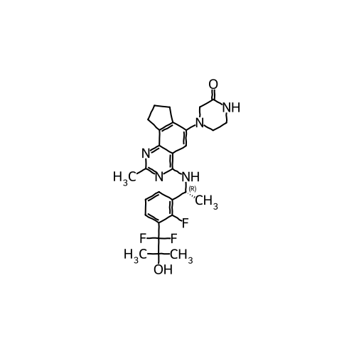 Cc1nc(N[C@H](C)c2cccc(C(F)(F)C(C)(C)O)c2F)c2cc(N3CCNC(=O)C3)c3c(c2n1)CCC3